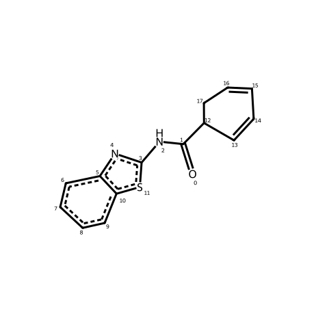 O=C(Nc1nc2ccccc2s1)C1C=CC=CC1